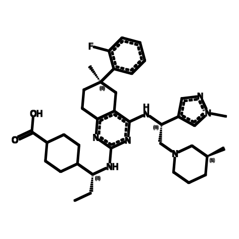 CC[C@@H](Nc1nc2c(c(N[C@@H](CN3CCC[C@H](C)C3)c3cnn(C)c3)n1)C[C@](C)(c1ccccc1F)CC2)C1CCC(C(=O)O)CC1